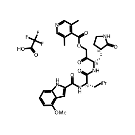 COc1cccc2[nH]c(C(=O)N[C@@H](CC(C)C)C(=O)N[C@@H](C[C@@H]3CCNC3=O)C(=O)COC(=O)c3c(C)cncc3C)cc12.O=C(O)C(F)(F)F